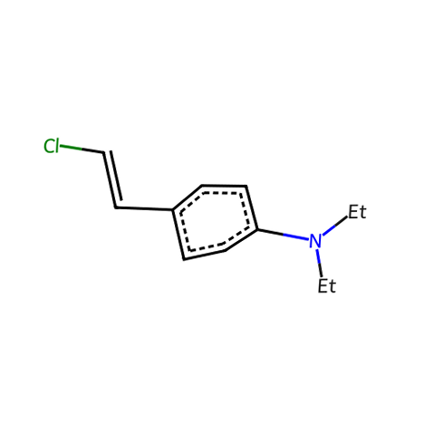 CCN(CC)c1ccc(C=CCl)cc1